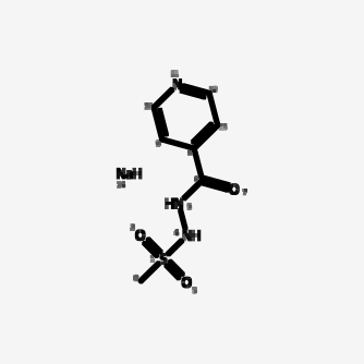 CS(=O)(=O)NNC(=O)c1ccncc1.[NaH]